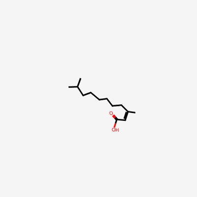 CC(=CC(=O)O)CCCCCCC(C)C